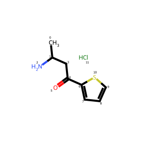 CC(N)CC(=O)c1cccs1.Cl